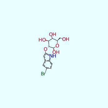 OC[C@H]1O[C@@H](O)[C@H](Oc2cc3cc(Br)ccc3[nH]2)[C@@H](O)[C@H]1O